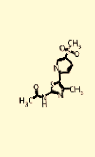 CC(=O)Nc1nc(C)c(-c2ccc(S(C)(=O)=O)cn2)s1